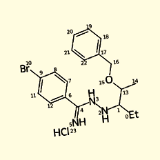 CCC(NNC(=N)c1ccc(Br)cc1)C(C)OCc1ccccc1.Cl